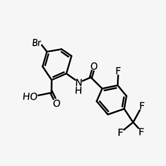 O=C(Nc1ccc(Br)cc1C(=O)O)c1ccc(C(F)(F)F)cc1F